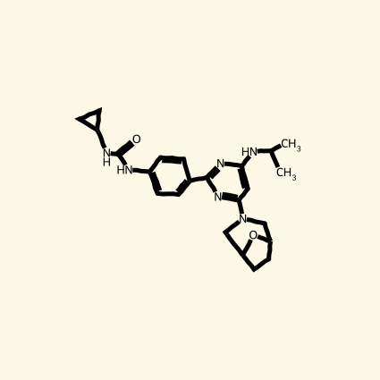 CC(C)Nc1cc(N2CC3CCC(C2)O3)nc(-c2ccc(NC(=O)NC3CC3)cc2)n1